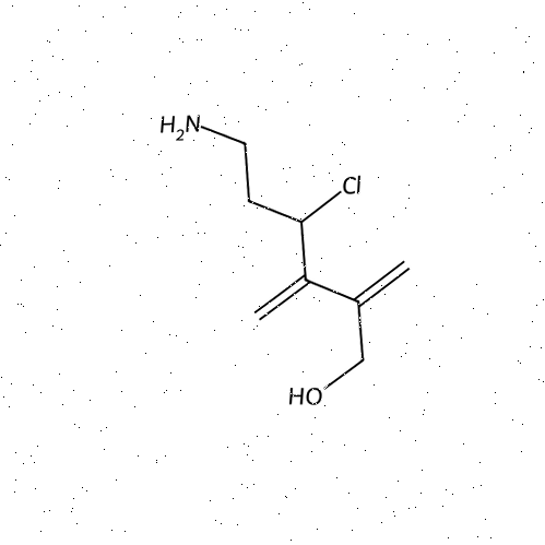 C=C(CO)C(=C)C(Cl)CCN